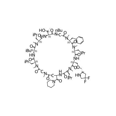 CCCCN1CC(=O)N(C)[C@@H](Cc2ccccc2)C(=O)N(C)[C@@H](CC(C)C)C(=O)N[C@@H](COC[C@@H]2CC(F)(F)CN2)C(=O)N(C)[C@@H](CC(C)C)C(=O)NC(C(=O)N2CCCCC2)CC(=O)N(C)CC(=O)N(C)[C@@H](CC(C)C)C(=O)N[C@@H]([C@@H](C)CC)C(=O)N(C)[C@@H](CC(C)C)C(=O)N[C@@H]([C@@H](C)O)C1=O